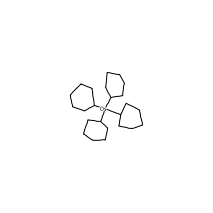 C1CC[CH]([Os]([CH]2CCCCC2)([CH]2CCCCC2)[CH]2CCCCC2)CC1